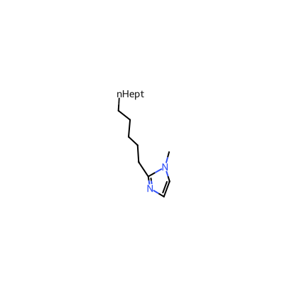 CCCCCCCCCCCCc1nccn1C